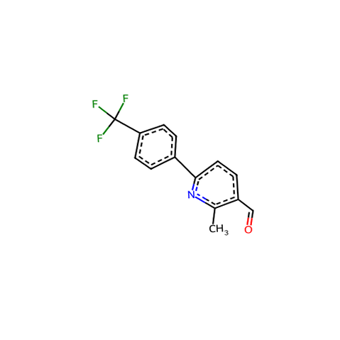 Cc1nc(-c2ccc(C(F)(F)F)cc2)ccc1C=O